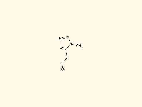 Cn1cncc1CC[O]